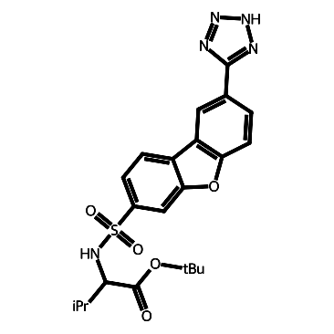 CC(C)C(NS(=O)(=O)c1ccc2c(c1)oc1ccc(-c3nn[nH]n3)cc12)C(=O)OC(C)(C)C